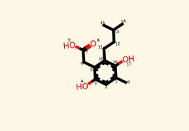 Cc1cc(O)c(CC(=O)O)c(CCC(C)C)c1O